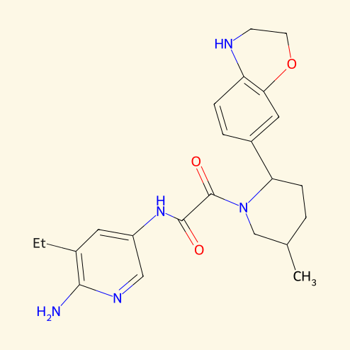 CCc1cc(NC(=O)C(=O)N2CC(C)CCC2c2ccc3c(c2)OCCN3)cnc1N